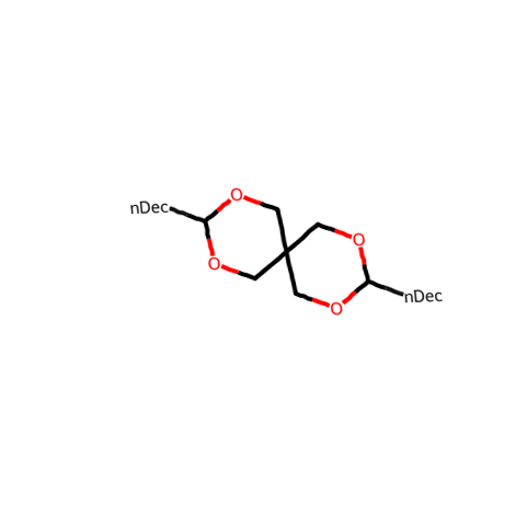 CCCCCCCCCCC1OCC2(CO1)COC(CCCCCCCCCC)OC2